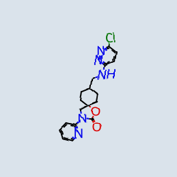 O=C1OC2(CCC(CNc3ccc(Cl)nn3)CC2)CN1c1ccccn1